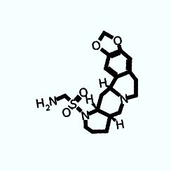 NCS(=O)(=O)N1CCC[C@H]2CN3CCc4cc5c(cc4[C@@H]3C[C@H]21)OCO5